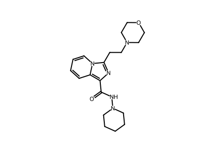 O=C(NN1CCCCC1)c1nc(CCN2CCOCC2)n2ccccc12